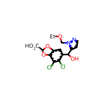 CCOCn1nccc1C(O)c1cc2c(c(Cl)c1Cl)OC(C(=O)O)O2